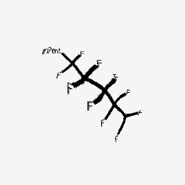 CCCCCC(F)(F)C(F)(F)C(F)(F)C(F)(F)[C](F)F